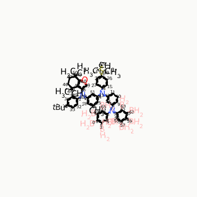 Bc1c(B)c(B)c(N(c2cccc(N(c3ccc(S(C)(C)C)cc3)c3cc(C)cc(N(c4ccc(C(C)(C)C)cc4)c4coc5c4C(C)(C)CCC5(C)C)c3)c2)c2c(B)c(B)c(B)c(B)c2B)c(B)c1B